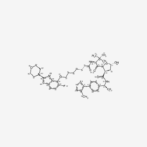 Cc1ncsc1-c1ccc([C@H](C)NC(=O)[C@@H]2C[C@@H](O)CN2C(=O)[C@@H](NC(=O)CCCCCCOc2c(F)ccc3sc(N4CCOCC4)nc23)C(C)(C)C)cc1